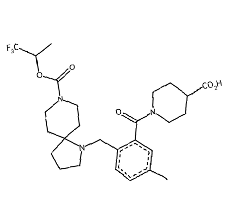 Cc1ccc(CN2CCCC23CCN(C(=O)OC(C)C(F)(F)F)CC3)c(C(=O)N2CCC(C(=O)O)CC2)c1